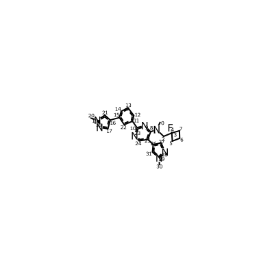 CN(CC1(F)CCC1)c1nc(-c2cccc(-c3cnn(C)c3)c2)ncc1-c1cnn(C)c1